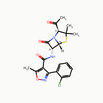 CC(=O)[C@@H]1N2C(=O)[C@@H](NC(=O)c3c(-c4ccccc4Cl)noc3C)[C@H]2SC1(C)C